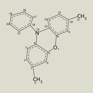 Cc1ccc2c(c1)Oc1cc(C)ccc1N2c1ccccc1